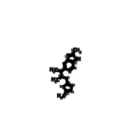 Cc1nc2cc(C(C)N(C)Cc3ccc(C)s3)ccc2[nH]1